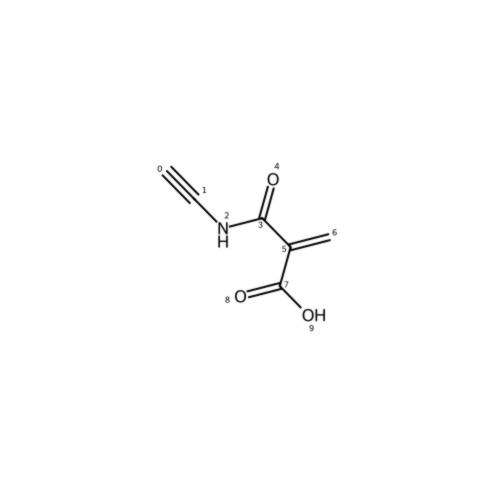 C#CNC(=O)C(=C)C(=O)O